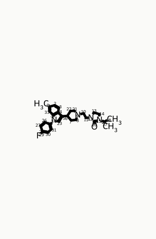 Cc1ccc2c(C3CCN(CCN4CCN(C(C)C)C4=O)CC3)cn(-c3ccc(F)cc3)c2c1